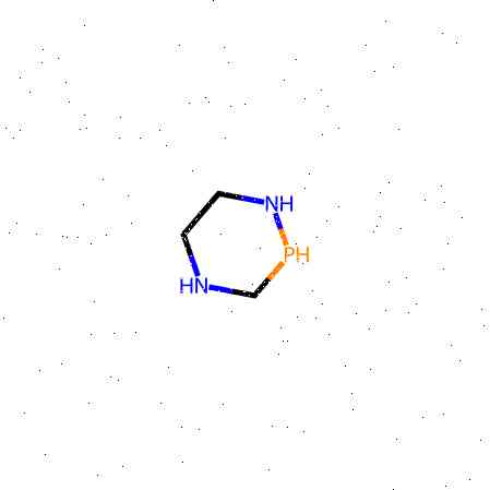 C1CNPCN1